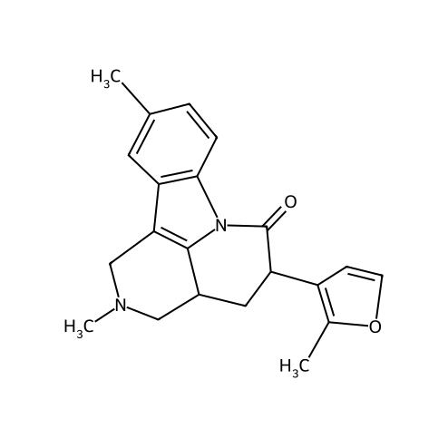 Cc1ccc2c(c1)c1c3n2C(=O)C(c2ccoc2C)CC3CN(C)C1